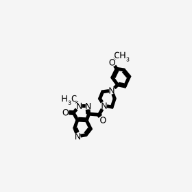 COc1cccc(N2CCN(C(=O)c3nn(C)c(=O)c4cnccc34)CC2)c1